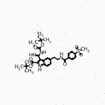 CC(C)(C)OC(=O)NC(=N)c1c(C(=O)OC(C)(C)C)[nH]c2ccc(CCNC(=O)c3ccc(S(C)(=O)=O)cc3)cc12